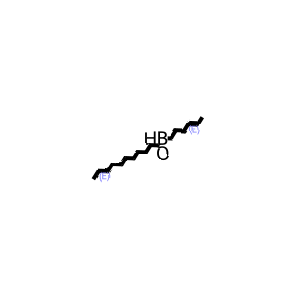 C/C=C/CCCBC(=O)CCCCCCC/C=C/C